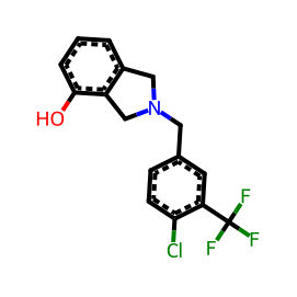 Oc1cccc2c1CN(Cc1ccc(Cl)c(C(F)(F)F)c1)C2